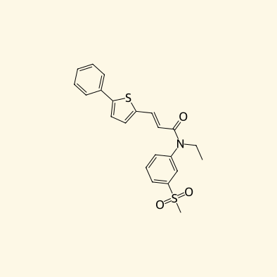 CCN(C(=O)/C=C/c1ccc(-c2ccccc2)s1)c1cccc(S(C)(=O)=O)c1